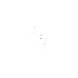 [2H]C1Nc2ccc(Oc3c(Cl)cc(N)cc3Cl)cc2C12CC2